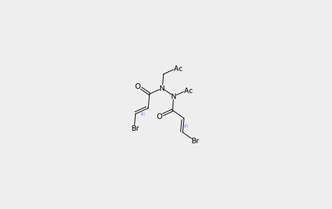 CC(=O)CN(C(=O)/C=C/Br)N(C(C)=O)C(=O)/C=C/Br